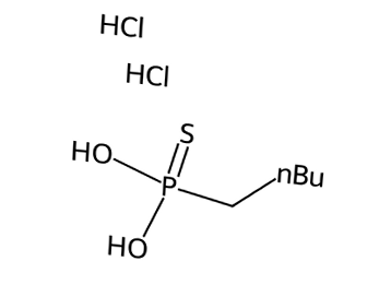 CCCCCP(O)(O)=S.Cl.Cl